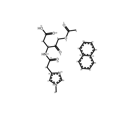 CC(=O)OCC(=O)C(CC(=O)O)NC(=O)Cc1cn(C)cn1.c1ccc2ccccc2c1